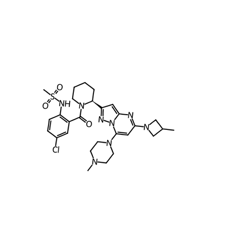 CC1CN(c2cc(N3CCN(C)CC3)n3nc([C@@H]4CCCCN4C(=O)c4cc(Cl)ccc4NS(C)(=O)=O)cc3n2)C1